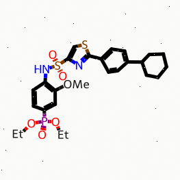 CCOP(=O)(OCC)c1ccc(NS(=O)(=O)c2csc(-c3ccc(C4CCCCC4)cc3)n2)c(OC)c1